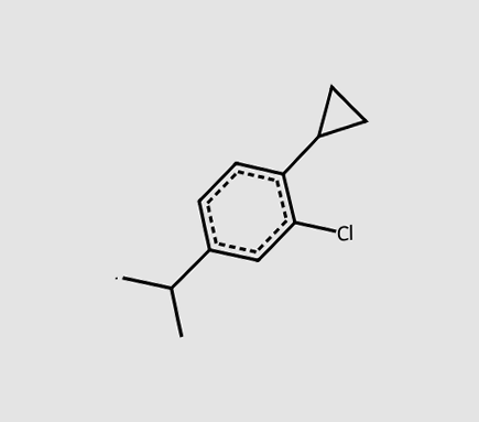 [CH2]C(C)c1ccc(C2CC2)c(Cl)c1